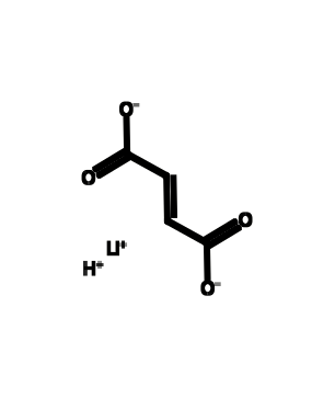 O=C([O-])/C=C/C(=O)[O-].[H+].[Li+]